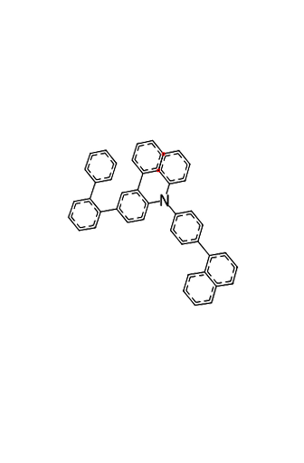 c1ccc(-c2ccccc2-c2ccc(N(c3ccccc3)c3ccc(-c4cccc5ccccc45)cc3)c(-c3ccccc3)c2)cc1